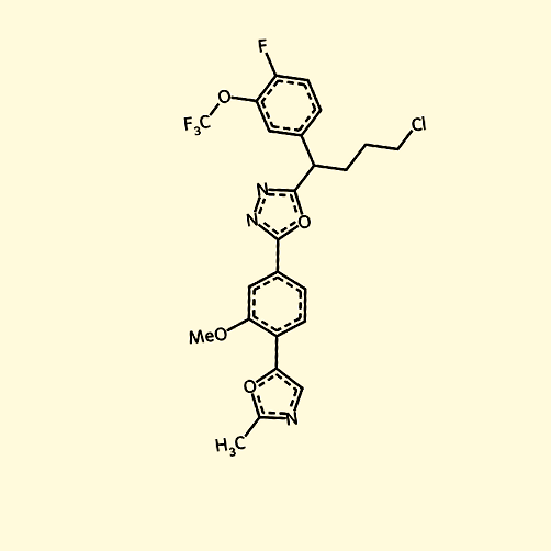 COc1cc(-c2nnc(C(CCCCl)c3ccc(F)c(OC(F)(F)F)c3)o2)ccc1-c1cnc(C)o1